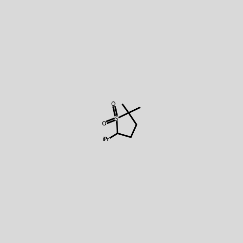 CC(C)C1CCC(C)(C)S1(=O)=O